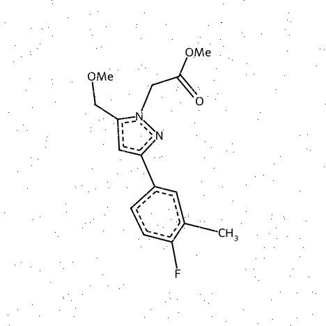 COCc1cc(-c2ccc(F)c(C)c2)nn1CC(=O)OC